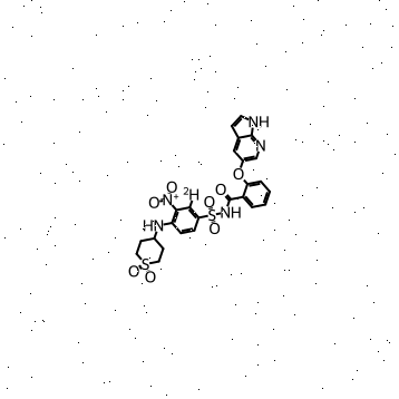 [2H]c1c(S(=O)(=O)NC(=O)c2ccccc2Oc2cnc3[nH]ccc3c2)ccc(NC2CCS(=O)(=O)CC2)c1[N+](=O)[O-]